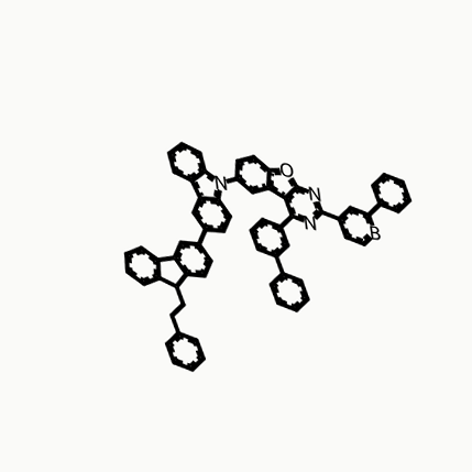 b1ccc(-c2nc(-c3cccc(-c4ccccc4)c3)c3c(n2)oc2ccc(-n4c5ccccc5c5cc(-c6ccc7c(c6)-c6ccccc6C7CCc6ccccc6)ccc54)cc23)cc1-c1ccccc1